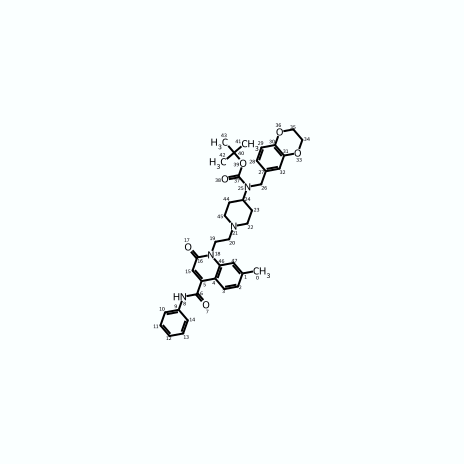 Cc1ccc2c(C(=O)Nc3ccccc3)cc(=O)n(CCN3CCC(N(Cc4ccc5c(c4)OCCO5)C(=O)OC(C)(C)C)CC3)c2c1